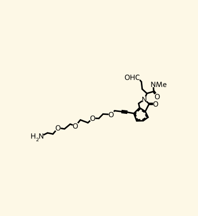 CNC(=O)C(CCC=O)N1Cc2c(C#CCOCCOCCOCCOCCN)cccc2C1=O